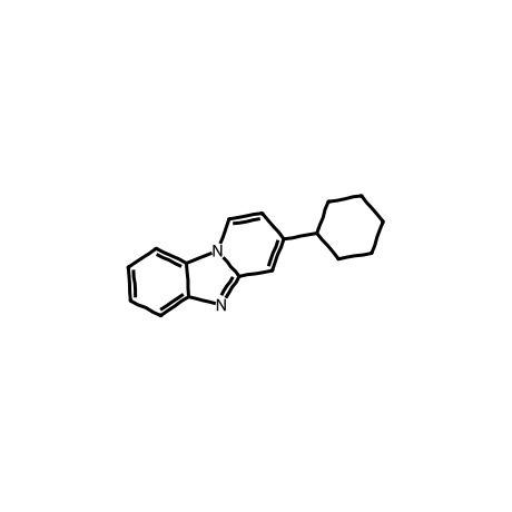 c1ccc2c(c1)nc1cc(C3CCCCC3)ccn12